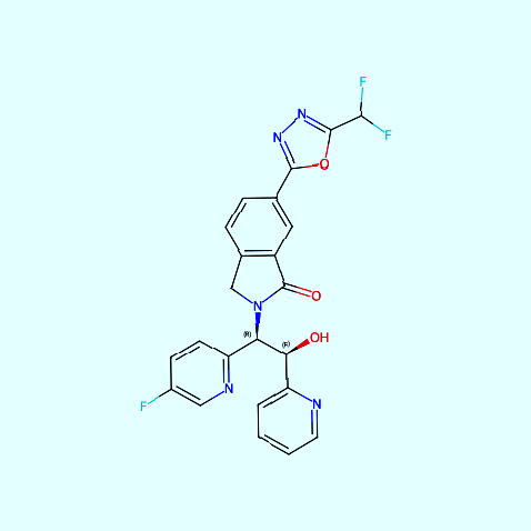 O=C1c2cc(-c3nnc(C(F)F)o3)ccc2CN1[C@H](c1ccc(F)cn1)[C@@H](O)c1ccccn1